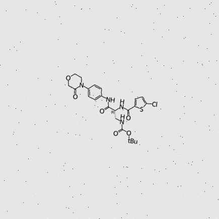 CC(C)(C)OC(=O)NC[C@@H](NC(=O)c1ccc(Cl)s1)C(=O)Nc1ccc(N2CCOCC2=O)cc1